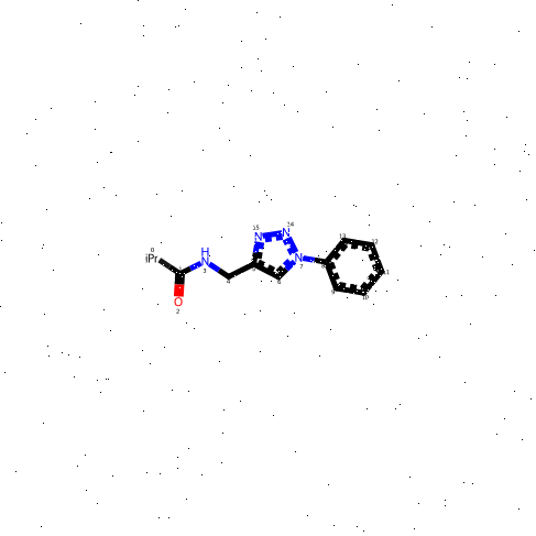 CC(C)C(=O)NCc1cn(-c2ccccc2)nn1